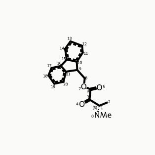 CN[C@@H](C)C(=O)C(=O)OCC1c2ccccc2-c2ccccc21